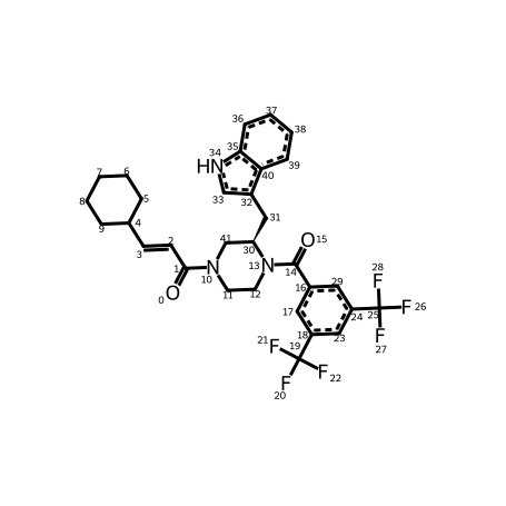 O=C(C=CC1CCCCC1)N1CCN(C(=O)c2cc(C(F)(F)F)cc(C(F)(F)F)c2)[C@H](Cc2c[nH]c3ccccc23)C1